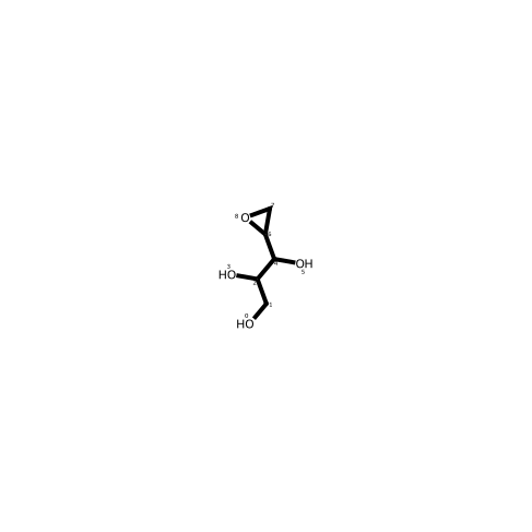 OCC(O)C(O)C1CO1